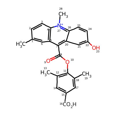 Cc1ccc2c(c1)c(C(=O)Oc1c(C)cc(C(=O)O)cc1C)c1cc(O)ccc1[n+]2C